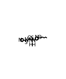 CCCCCOc1ccc(NC(=S)NC(=O)c2csc(-c3ccncc3)n2)cn1